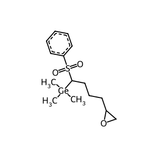 [CH3][Ge]([CH3])([CH3])[CH](CCCC1CO1)S(=O)(=O)c1ccccc1